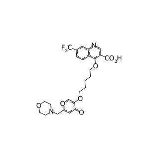 O=C(O)c1cnc2cc(C(F)(F)F)ccc2c1OCCCCCOc1coc(CN2CCOCC2)cc1=O